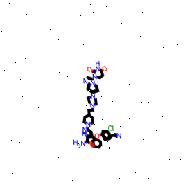 N#Cc1ccc(OC2(c3cc(N4CCC(CCN5CCN(c6ccn7c(N8CCC(=O)NC8=O)cnc7c6)CC5)CC4)nnc3C(N)=O)CCCCC2)cc1Cl